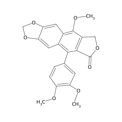 COc1ccc(-c2c3c(c(OC)c4cc5c(cc24)OCO5)COC3=O)cc1OC